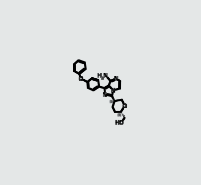 Nc1nccn2c([C@@H]3CC[C@@H](CO)OC3)nc(-c3ccc(Oc4ccccc4)cc3)c12